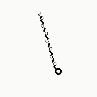 ISOCCOCCOCCOCCOCCOCCOCc1ccccc1